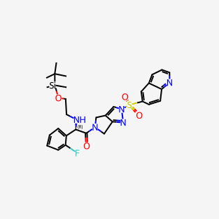 CC(C)(C)[Si](C)(C)OCCN[C@@H](C(=O)N1Cc2cn(S(=O)(=O)c3ccc4ncccc4c3)nc2C1)c1ccccc1F